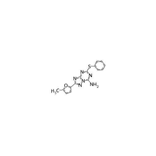 Cc1ccc(-c2nc3nc(Sc4ccccc4)nc(N)n3n2)o1